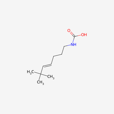 CC(C)(C)C=CCCCNC(=O)O